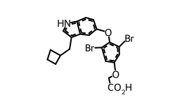 O=C(O)COc1cc(Br)c(Oc2ccc3[nH]cc(CC4CCC4)c3c2)c(Br)c1